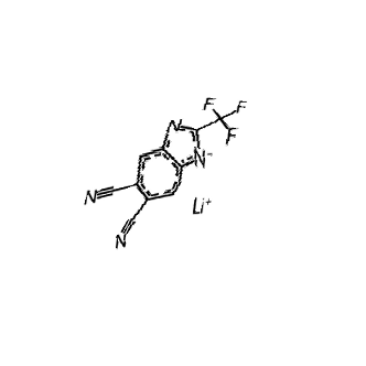 N#Cc1cc2nc(C(F)(F)F)[n-]c2cc1C#N.[Li+]